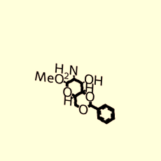 CO[C@@H]1O[C@@H]2COC(c3ccccc3)O[C@H]2[C@@H](O)[C@@H]1N